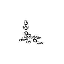 CCCCC(C)(CO)Nc1nc(NCc2ccc(OC)cc2OC)nc2cc(-c3cnc(C4=CCN(C)CC4)nc3)cnc12